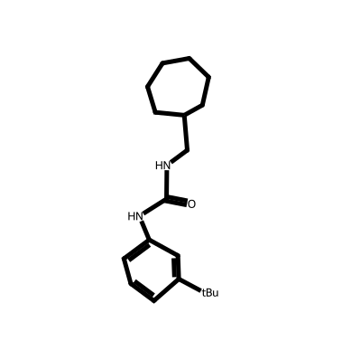 CC(C)(C)c1cccc(NC(=O)NCC2CCCCCC2)c1